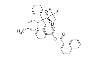 Cc1ccc(C(c2ccccc2)(c2ccccc2)S(=O)(=O)C(F)(F)COCC(OC(=O)c2cccc3ccccc23)c2ccccc2)cc1